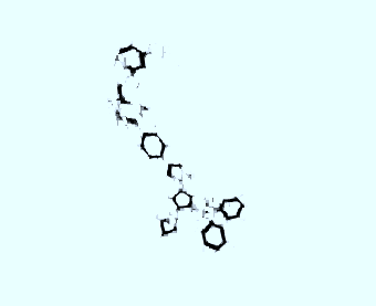 Cn1c(COc2cc(C(F)(F)F)ccn2)nnc1[C@H]1CC[C@H](c2cnn([C@H]3C[C@H](O[Si](c4ccccc4)(c4ccccc4)C(C)(C)C)[C@@H](N4CCC4)C3)c2)CC1